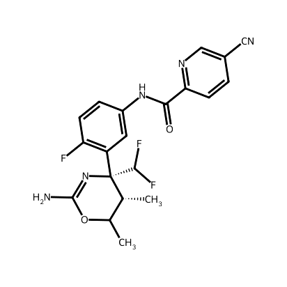 CC1OC(N)=N[C@](c2cc(NC(=O)c3ccc(C#N)cn3)ccc2F)(C(F)F)[C@@H]1C